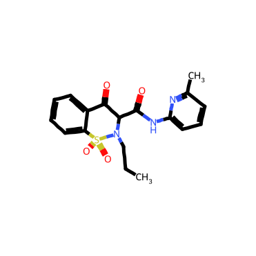 CCCN1C(C(=O)Nc2cccc(C)n2)C(=O)c2ccccc2S1(=O)=O